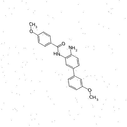 COc1ccc(C(=O)Nc2cc(-c3cccc(OC)c3)ccc2N)cc1